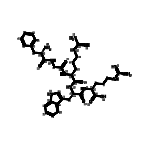 N=C(N)NCCC[C@H](NC(=O)[C@H](Cc1c[nH]c2ccccc12)NC(=O)[C@H](CCCNC(=N)N)NC(=O)CNC(=O)[C@@H](N)Cc1ccccc1)C(=O)O